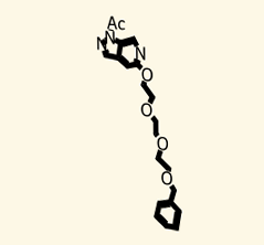 CC(=O)n1ncc2cc(OCCOCCOCCOCc3ccccc3)ncc21